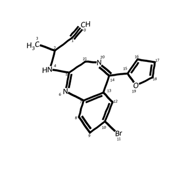 C#CC(C)NC1=Nc2ccc(Br)cc2C(c2ccco2)=NC1